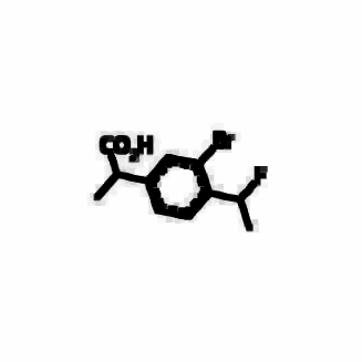 CC(F)c1ccc(C(C)C(=O)O)cc1Br